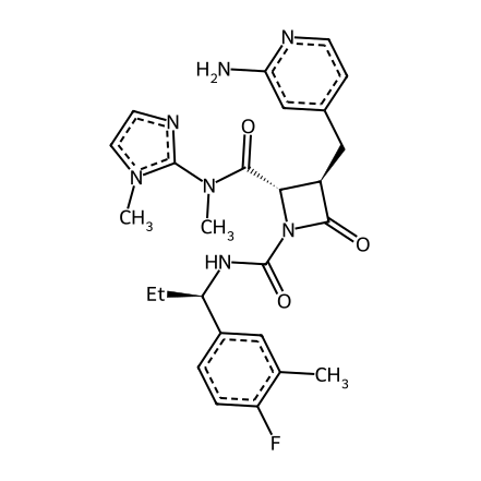 CC[C@@H](NC(=O)N1C(=O)[C@H](Cc2ccnc(N)c2)[C@H]1C(=O)N(C)c1nccn1C)c1ccc(F)c(C)c1